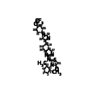 Cc1cccc(C)c1N1C(=O)CS/C1=N\c1ncc2cc(-c3cn(-c4ccc(OC(F)(F)F)cc4)cn3)ccc2n1